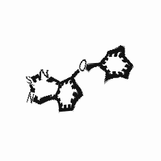 c1ccc(Oc2cccc3nsnc23)cc1